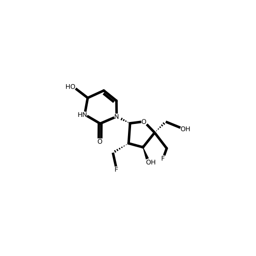 O=C1NC(O)C=CN1[C@@H]1O[C@@](CO)(CF)[C@@H](O)[C@@H]1CF